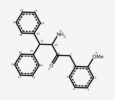 COc1ccccc1CC(=O)C(N)C(c1ccccc1)c1ccccc1